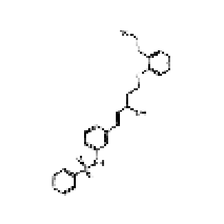 N#CCCc1ccccc1OCCC(O)/C=C/c1cccc(NS(=O)(=O)c2ccccc2)c1